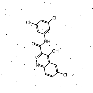 O=C(Nc1cc(Cl)cc(Cl)c1)c1nnc2ccc(Cl)cc2c1O